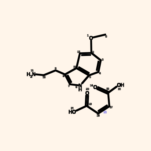 COc1ccc2[nH]cc(CCN)c2c1.O=C(O)/C=C\C(=O)O